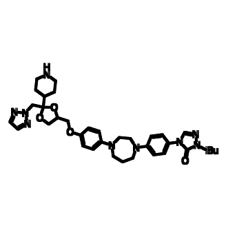 CCC(C)n1ncn(-c2ccc(N3CCCN(c4ccc(OCC5COC(Cn6nccn6)(C6CCNCC6)O5)cc4)CC3)cc2)c1=O